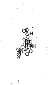 CCOC(=O)c1cc2cc(NC(=O)[C@H](Cc3ccc(NC(=O)N4CCN(C)CC4)cc3)NC(=O)c3cc(-c4cccc(Cl)c4F)[nH]n3)ccc2[nH]1